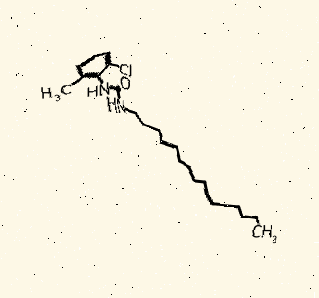 CCCCCCCCCCCCCCNC(=O)Nc1c(C)cccc1Cl